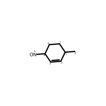 CC1C=CC(N=O)CC1